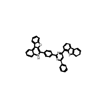 c1ccc(-c2cc(-c3cccc4c5c(sc34)CCC=C5)nc(-c3ccc(C4=c5oc6ccccc6c5=C5C=CC=CC5N4)cc3)n2)cc#1